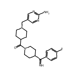 N=C(c1ccc(F)cc1)C1CCN(C(=O)C2CCN(Cc3cnc(N)nc3)CC2)CC1